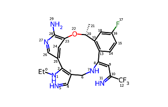 CCN/C1=C(\C=N)CN/C(=C\C(=N)C(F)(F)F)c2ccc(F)cc2[C@@H](C)Oc2cc1cnc2N